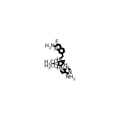 CC1(C)O[C@H]2[C@H](n3ccc4c(N)ncnc43)[C@H]3C[C@@]3(CCc3ccc4cc(F)c(N)nc4c3)[C@H]2O1